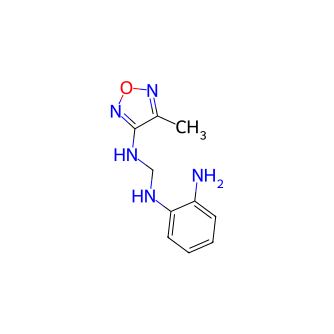 Cc1nonc1NCNc1ccccc1N